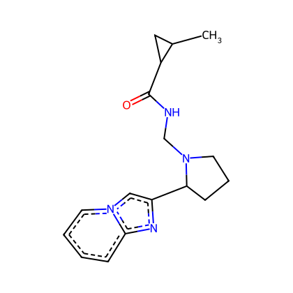 CC1CC1C(=O)NCN1CCCC1c1cn2ccccc2n1